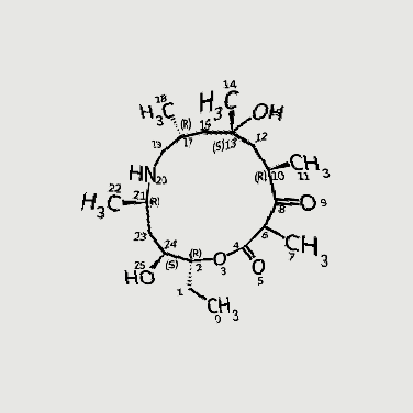 CC[C@H]1OC(=O)C(C)C(=O)[C@H](C)C[C@@](C)(O)C[C@@H](C)CN[C@H](C)C[C@@H]1O